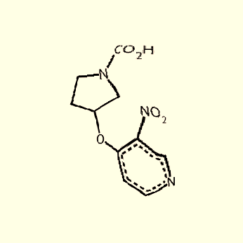 O=C(O)N1CCC(Oc2ccncc2[N+](=O)[O-])C1